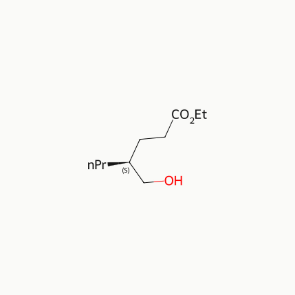 CCC[C@H](CO)CCC(=O)OCC